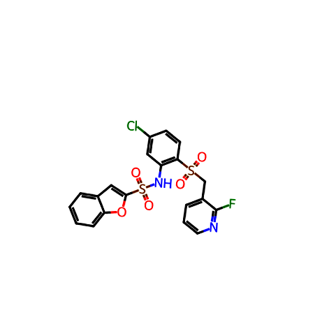 O=S(=O)(Cc1cccnc1F)c1ccc(Cl)cc1NS(=O)(=O)c1cc2ccccc2o1